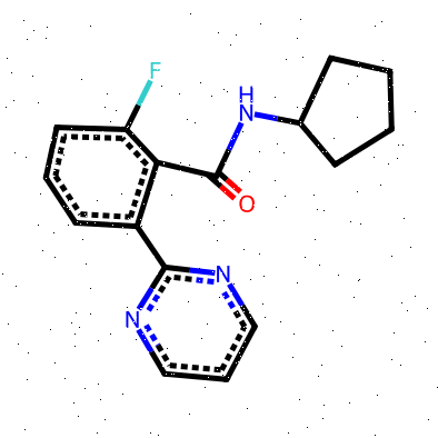 O=C(NC1CCCC1)c1c(F)cccc1-c1ncccn1